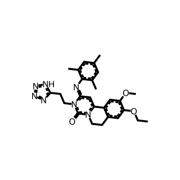 CCOc1cc2c(cc1OC)-c1c/c(=N\c3c(C)cc(C)cc3C)n(CCc3nnn[nH]3)c(=O)n1CC2